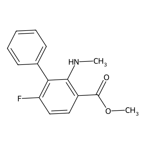 CNc1c(C(=O)OC)ccc(F)c1-c1ccccc1